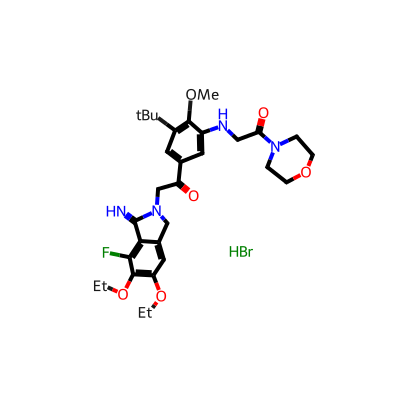 Br.CCOc1cc2c(c(F)c1OCC)C(=N)N(CC(=O)c1cc(NCC(=O)N3CCOCC3)c(OC)c(C(C)(C)C)c1)C2